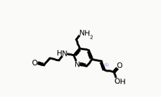 NCc1cc(/C=C/C(=O)O)cnc1NCCC=O